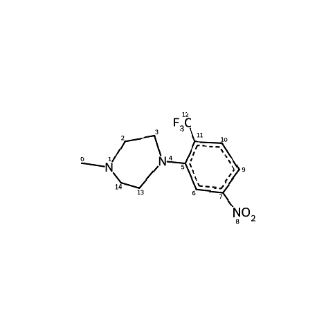 CN1CCN(c2cc([N+](=O)[O-])ccc2C(F)(F)F)CC1